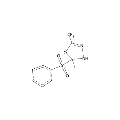 CC1(S(=O)(=O)c2ccccc2)NN=C(C(F)(F)F)O1